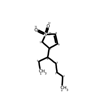 CCCCC(CC)C1C=CS(=O)(=O)C1